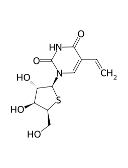 C=Cc1cn([C@H]2S[C@@H](CO)[C@@H](O)[C@@H]2O)c(=O)[nH]c1=O